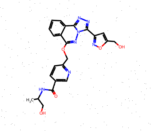 CC(CO)NC(=O)c1ccc(COc2nn3c(-c4cc(CO)on4)nnc3c3ccccc23)nc1